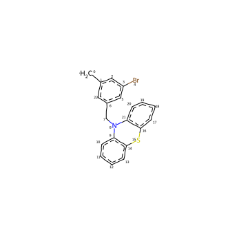 [CH2]c1cc(Br)cc(CN2c3ccccc3Sc3ccccc32)c1